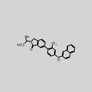 CCC(C)C(C(=O)O)N1Cc2ccc(-c3ccc(Nc4ccc5ccccc5c4)cc3C(F)(F)F)cc2C1=O